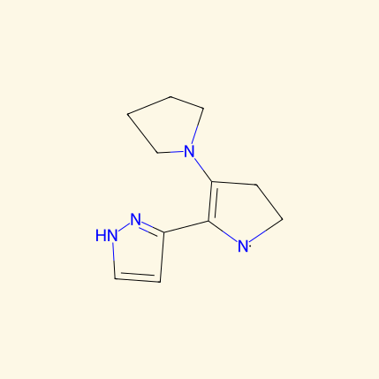 c1cc(C2=C(N3CCCC3)CC[N]2)n[nH]1